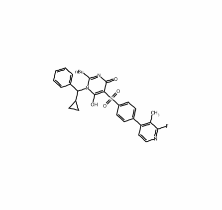 CCCCc1nc(=O)c(S(=O)(=O)c2ccc(-c3ccnc(F)c3C)cc2)c(O)n1C(c1ccccc1)C1CC1